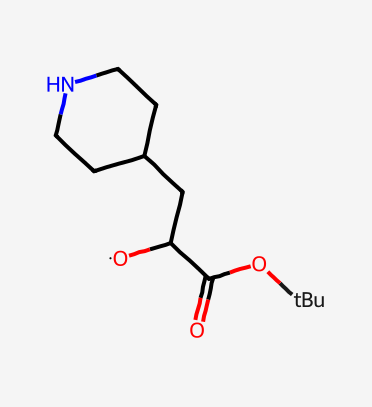 CC(C)(C)OC(=O)C([O])CC1CCNCC1